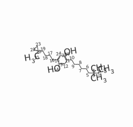 CCC(C)(C)CCCCCCc1cc(O)c(CCCCC2(C)CC2)cc1O